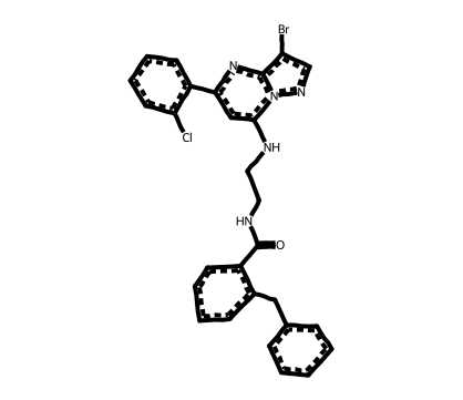 O=C(NCCNc1cc(-c2ccccc2Cl)nc2c(Br)cnn12)c1ccccc1Cc1ccccc1